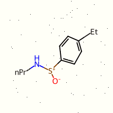 CCCN[S+]([O-])c1ccc(CC)cc1